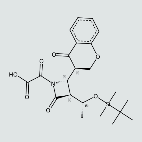 C[C@@H](O[Si](C)(C)C(C)(C)C)[C@H]1C(=O)N(C(=O)C(=O)O)[C@@H]1[C@@H]1COc2ccccc2C1=O